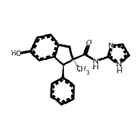 C[C@@]1(C(=O)Nc2ncc[nH]2)Cc2ccc(O)cc2[C@@H]1c1ccccc1